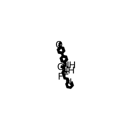 COc1ccc(-c2ccc(NC(=O)NCC(F)(F)CCN3CCCCC3)cc2)cc1